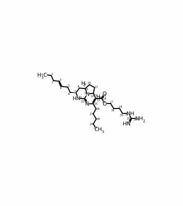 CCC/C=C/CC[C@H]1C[C@H]2CC[C@H]3C(C(=O)OCCCCNC(=N)N)=C(CCCCC)N=C(N1)N23